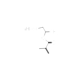 C=C(C)C(=O)OC(CCCCCCCC)C(F)(F)F